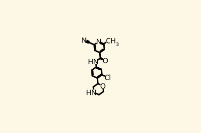 Cc1cc(C(=O)Nc2ccc(C3CNCCO3)c(Cl)c2)cc(C#N)n1